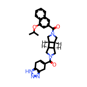 CC(C)Oc1cc(C(=O)N2C[C@@H]3[C@H]4CN(C(=O)C5=CCc6[nH]nnc6C5)C[C@H]4[C@@H]3C2)cc2ccccc12